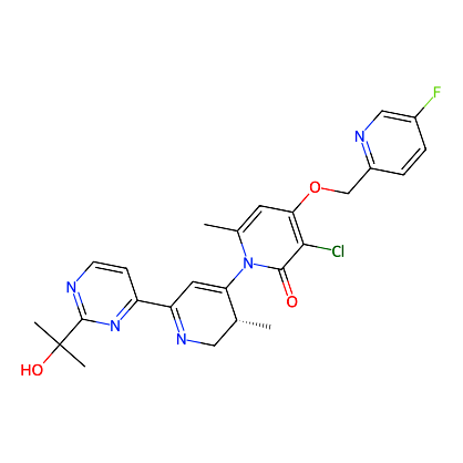 Cc1cc(OCc2ccc(F)cn2)c(Cl)c(=O)n1C1=CC(c2ccnc(C(C)(C)O)n2)=NC[C@H]1C